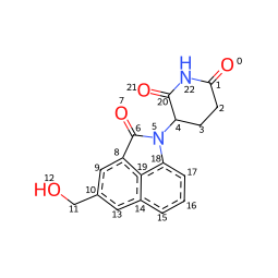 O=C1CCC(N2C(=O)c3cc(CO)cc4cccc2c34)C(=O)N1